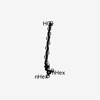 CCCCCCOc1cc(Cn2cc(COCCOCCOCCOCCOCCOCCOCCOCCP(=O)(O)F)nn2)cc(OCCCCCC)c1